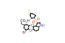 O=C(O)Cc1cc(Cl)c(Oc2ccc3[nH]cc(S(=O)(=O)c4ccc(F)cc4)c3c2)c(Br)c1